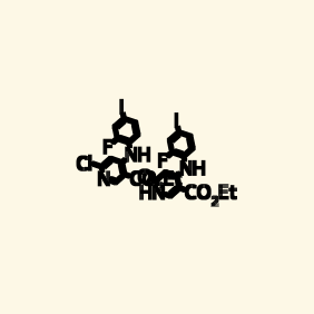 CCOC(=O)c1c[nH]c(=O)cc1Nc1ccc(I)cc1F.CCOC(=O)c1cnc(Cl)cc1Nc1ccc(I)cc1F